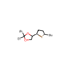 CCC1(C(C)C)OCC(C2CCC(C(C)(C)C)S2)O1